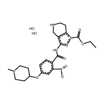 CCOC(=O)n1nc(NC(=O)c2ccc(OC3CCN(C)CC3)cc2[N+](=O)[O-])c2c1CCNC2.Cl.Cl